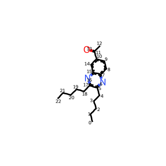 CCCCCc1nc2ccc(C(C)=O)cc2nc1CCCCC